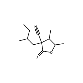 CCC(C)CC1(C#N)C(=O)OC(C)C1C